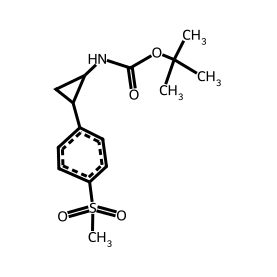 CC(C)(C)OC(=O)NC1CC1c1ccc(S(C)(=O)=O)cc1